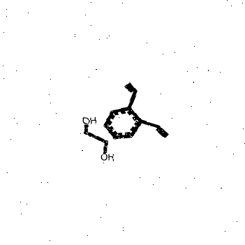 C=Cc1ccccc1C=C.OCCO